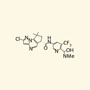 CNC(O)c1ncc(NC(=O)[C@H]2CC(C)(C)c3c2cnc2cc(Cl)nn32)cc1C(F)(F)F